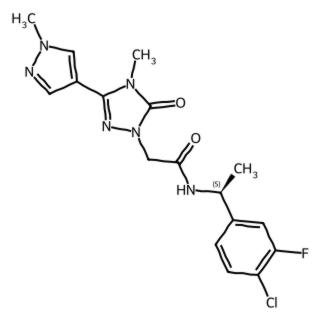 C[C@H](NC(=O)Cn1nc(-c2cnn(C)c2)n(C)c1=O)c1ccc(Cl)c(F)c1